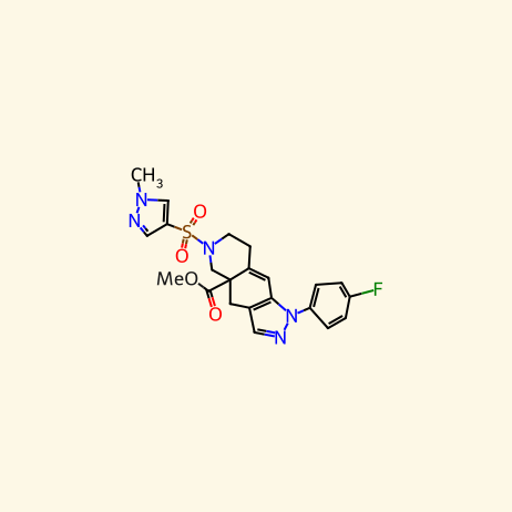 COC(=O)C12Cc3cnn(-c4ccc(F)cc4)c3C=C1CCN(S(=O)(=O)c1cnn(C)c1)C2